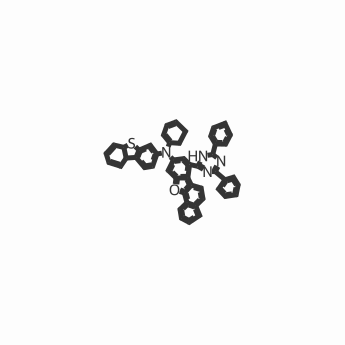 C1=CCCC(N(c2ccc3c(c2)SC2C=CC=CC32)c2cc(C3=NC(c4ccccc4)=NC(c4ccccc4)N3)c3c(c2)oc2c4ccccc4ccc23)=C1